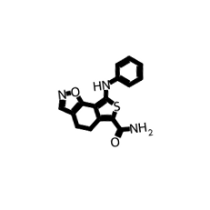 NC(=O)c1sc(Nc2ccccc2)c2c1CCc1cnoc1-2